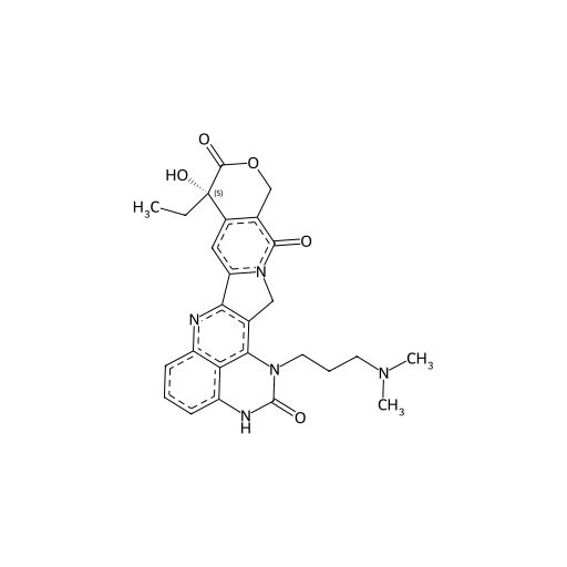 CC[C@@]1(O)C(=O)OCc2c1cc1n(c2=O)Cc2c-1nc1cccc3c1c2N(CCCN(C)C)C(=O)N3